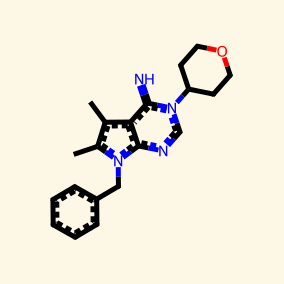 Cc1c(C)n(Cc2ccccc2)c2ncn(C3CCOCC3)c(=N)c12